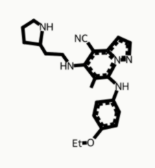 CCOc1ccc(Nc2c(C)c(NCCC3CCCN3)c(C#N)c3ccnn23)cc1